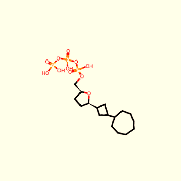 O=P(O)(O)OP(=O)(O)OP(=O)(O)OC[C@@H]1CC[C@H](C2CC(C3CCCCCCC3)C2)O1